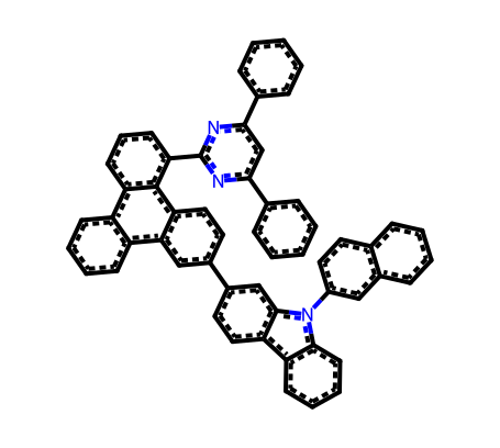 c1ccc(-c2cc(-c3ccccc3)nc(-c3cccc4c5ccccc5c5cc(-c6ccc7c8ccccc8n(-c8ccc9ccccc9c8)c7c6)ccc5c34)n2)cc1